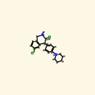 CN1Cc2ccc(Cl)cc2C(c2ccc(N3CCCCC3)cc2)C1Cl